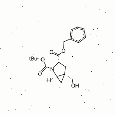 CC(C)(C)OC(=O)N1[C@H](C(=O)OCc2ccccc2)C[C@@]2(CO)C[C@@H]12